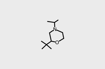 CC(C)N1CCOC(C(C)(C)C)C1